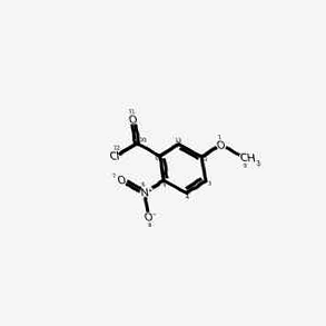 COc1ccc([N+](=O)[O-])c(C(=O)Cl)c1